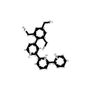 FCc1cc(CF)c(-c2ccnc(-c3cccc(-c4ccccn4)n3)c2)c(CF)c1